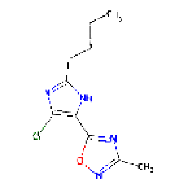 CCCCc1nc(Cl)c(-c2nc(C)no2)[nH]1